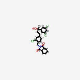 O=C1c2ccccc2C(=O)N1Cc1ccc(/C=C/C(O)(c2cc(Cl)cc(Cl)c2)C(F)(F)F)cc1Cl